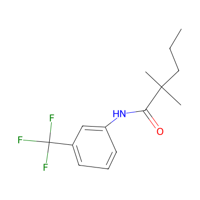 CCCC(C)(C)C(=O)Nc1cccc(C(F)(F)F)c1